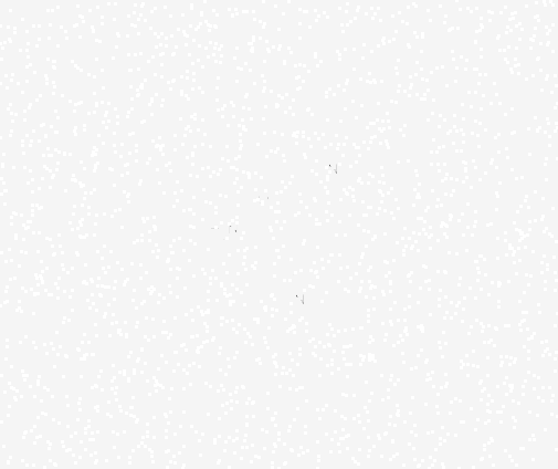 NC(=O)c1sc2ncccc2c1-c1ccncc1